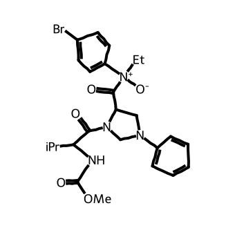 CC[N+]([O-])(C(=O)C1CN(c2ccccc2)CN1C(=O)C(NC(=O)OC)C(C)C)c1ccc(Br)cc1